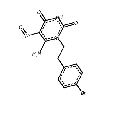 Nc1c(N=O)c(=O)[nH]c(=O)n1CCc1ccc(Br)cc1